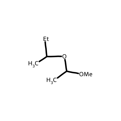 CCC(C)OC(C)OC